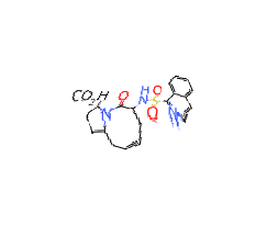 O=C(O)C1CCC2C/C=C\CC(NS(=O)(=O)c3nccc4ccccc34)C(=O)N21